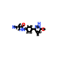 CC(C)(C#N)C(=O)Nc1ccc(C2=NNC(=O)C3CC23)cc1